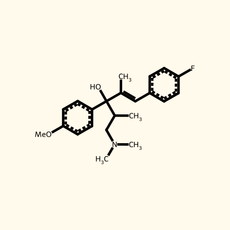 COc1ccc(C(O)(C(C)=Cc2ccc(F)cc2)C(C)CN(C)C)cc1